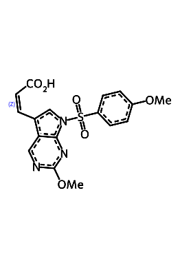 COc1ccc(S(=O)(=O)n2cc(/C=C\C(=O)O)c3cnc(OC)nc32)cc1